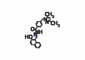 Cc1cc(C)n(Cc2ccc(C(=O)N/N=C/c3c(O)ccc4ccccc34)cc2)n1